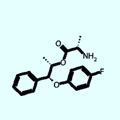 C[C@H](N)C(=O)O[C@@H](C)[C@H](Oc1ccc(F)cc1)c1ccccc1